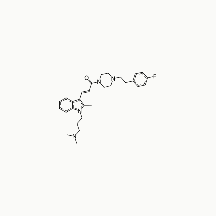 Cc1c(C=CC(=O)N2CCN(CCc3ccc(F)cc3)CC2)c2ccccc2n1CCCN(C)C